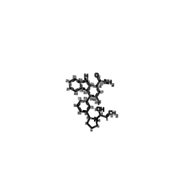 C=CC(O)N1CCCC1c1cccc(-c2c(F)cc(C(N)=O)c3[nH]c4ccccc4c23)c1